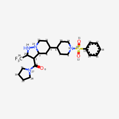 O=C(C1C2CC(C3CCN(S(=O)(=O)c4ccccc4)CC3)CCN2NC1C(F)(F)F)N1CCCC1